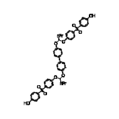 CCCC(Oc1ccc(-c2ccc(OC(CCC)Oc3ccc(S(=O)(=O)c4ccc(O)cc4)cc3)cc2)cc1)Oc1ccc(S(=O)(=O)c2ccc(O)cc2)cc1